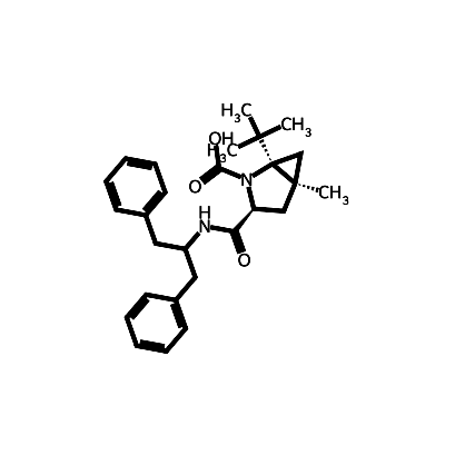 CC(C)(C)[C@]12C[C@@]1(C)C[C@@H](C(=O)NC(Cc1ccccc1)Cc1ccccc1)N2C(=O)O